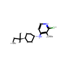 COc1c(N[C@H]2CC[C@H](C(C)(C)CC(C)(C)C)CC2)ccnc1Cl